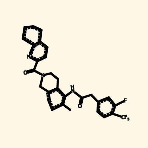 Cc1ccc2c(c1NC(=O)Cc1ccc(C(F)(F)F)c(F)c1)CCN(C(=O)c1ccc3ccccc3n1)C2